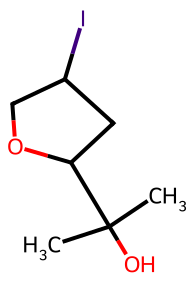 CC(C)(O)C1CC(I)CO1